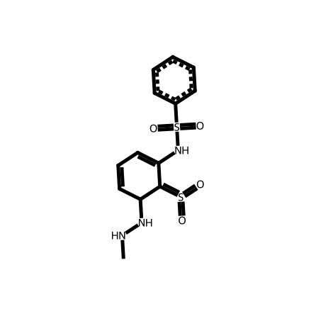 CNNC1C=CC=C(NS(=O)(=O)c2ccccc2)C1=S(=O)=O